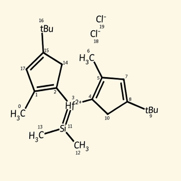 CC1=[C]([Hf+2]([C]2=C(C)C=C(C(C)(C)C)C2)=[Si](C)C)CC(C(C)(C)C)=C1.[Cl-].[Cl-]